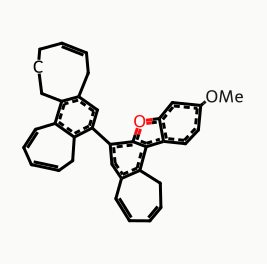 COc1ccc2c(c1)oc1c(-c3cc4c(c5c3CC=CC=C5)CCC/C=C\C4)cc3c(c12)CC=CC=C3